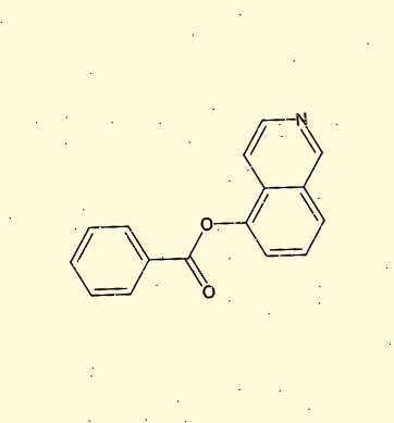 O=C(Oc1cccc2cnccc12)c1ccccc1